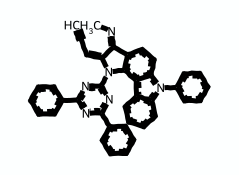 C#C/C=C1\C(=N/C)c2ccc3c(c2N1c1nc(-c2ccccc2)nc(-c2ccccc2)n1)c1ccccc1n3-c1ccccc1